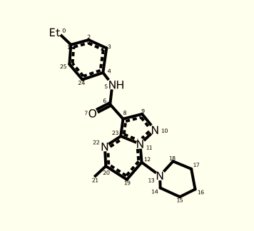 CCc1ccc(NC(=O)c2cnn3c(N4CCCCC4)cc(C)nc23)cc1